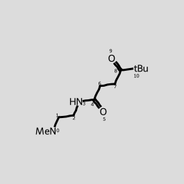 CNCCNC(=O)CCC(=O)C(C)(C)C